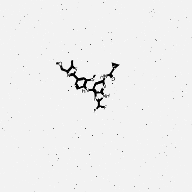 COCc1nc(-c2ccc(Nc3cc(NC(=O)C4CC4)nc4[nH]c(C(F)F)nc34)c(SC)c2)sc1C